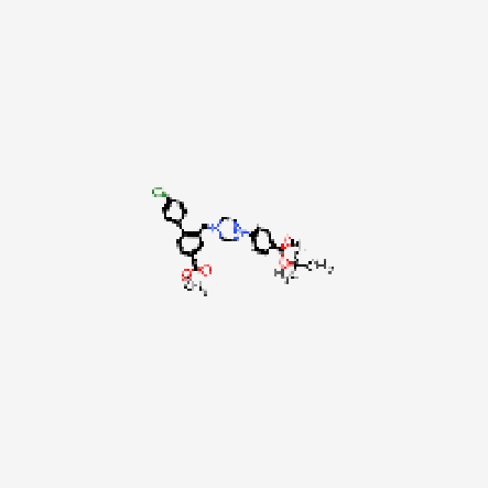 COC(=O)c1ccc(-c2ccc(Cl)cc2)c(CN2CCN(c3ccc(C(=O)OC(C)(C)C)cc3)CC2)c1